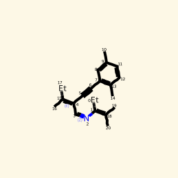 CCC(/N=C\C(C#Cc1cc(C)ccc1C)=C(/C)CC)=C(C)C